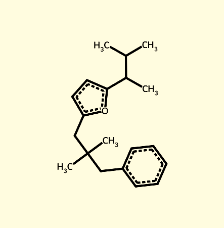 CC(C)C(C)c1ccc(CC(C)(C)Cc2ccccc2)o1